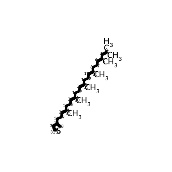 CC(C)=C/C(C)=C/CC/C(C)=C/CC/C(C)=C/CC/C(C)=C/CC/C(C)=C/CCc1ccsc1